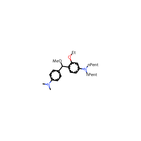 CCCCCN(CCCCC)c1ccc(C(OC)c2ccc(N(C)C)cc2)c(OCC)c1